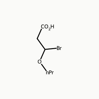 CCCOC(Br)CC(=O)O